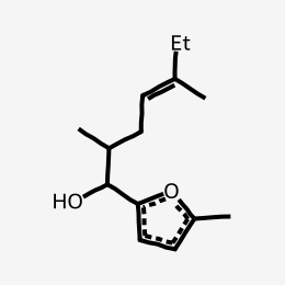 CCC(C)=CCC(C)C(O)c1ccc(C)o1